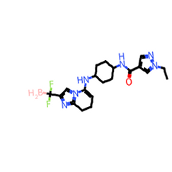 BC(F)(F)c1cn2c(n1)CCC=C2NC1CCC(NC(=O)c2cnn(CC)c2)CC1